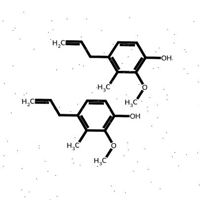 C=CCc1ccc(O)c(OC)c1C.C=CCc1ccc(O)c(OC)c1C